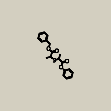 CC(SC(C)C(=O)Oc1ccccc1)C(=O)OCc1ccccc1